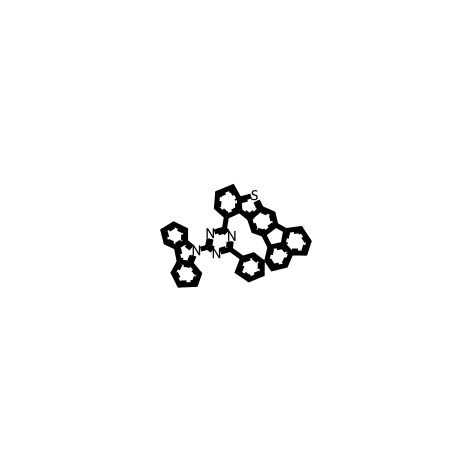 c1ccc(-c2nc(-c3cccc4sc5cc6c(cc5c34)-c3cccc4cccc-6c34)nc(-n3c4ccccc4c4ccccc43)n2)cc1